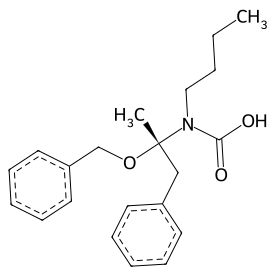 CCCCN(C(=O)O)[C@](C)(Cc1ccccc1)OCc1ccccc1